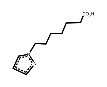 O=C(O)CCCCCCn1cccn1